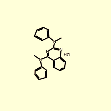 CN(c1ccccc1)c1nc(N(C)c2ccccc2)c2ccccc2n1.Cl